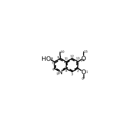 COc1cc2ncc(O)c(C)c2cc1OC